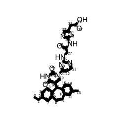 CCc1ccc2c(c1)C=Cc1cc(C)ccc1C2c1cn(-c2ccnc(NCC(=O)Nc3ncc(CC(=O)O)s3)n2)c(=O)[nH]c1=O